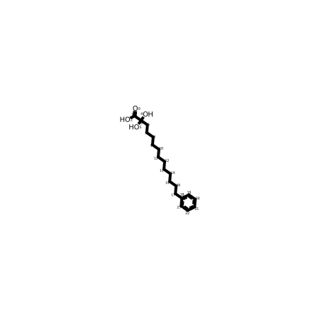 O=C(O)C(O)(O)CCCCCCCCCCCCc1ccccc1